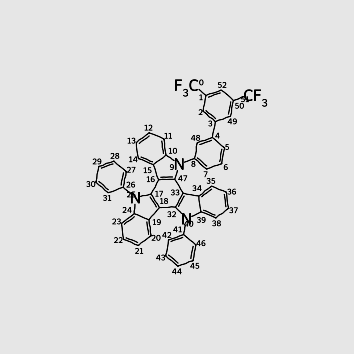 FC(F)(F)c1cc(-c2cccc(-n3c4ccccc4c4c5c(c6ccccc6n5-c5ccccc5)c5c(c6ccccc6n5-c5ccccc5)c43)c2)cc(C(F)(F)F)c1